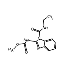 CCNC(=O)n1c(NC(=O)OC)nc2ccccc21